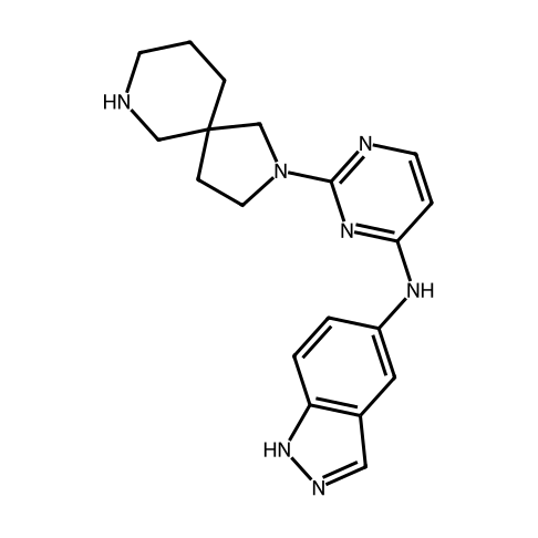 c1cc(Nc2ccc3[nH]ncc3c2)nc(N2CCC3(CCCNC3)C2)n1